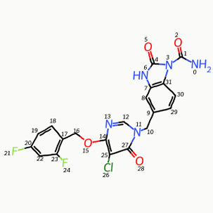 NC(=O)n1c(=O)[nH]c2cc(Cn3cnc(OCc4ccc(F)cc4F)c(Cl)c3=O)ccc21